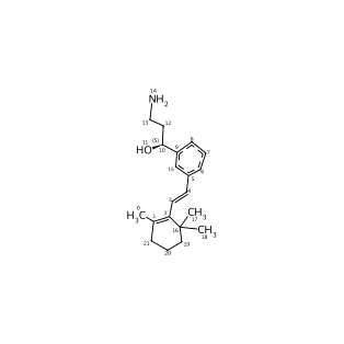 CC1=C(C=Cc2cccc([C@@H](O)CCN)c2)C(C)(C)CCC1